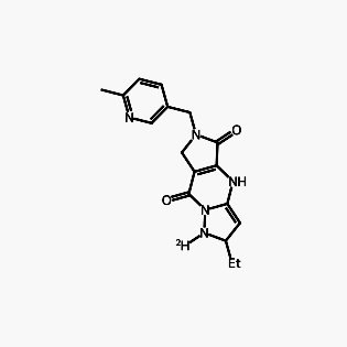 [2H]N1C(CC)C=C2NC3=C(CN(Cc4ccc(C)nc4)C3=O)C(=O)N21